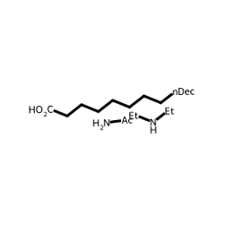 CC(N)=O.CCCCCCCCCCCCCCCCCC(=O)O.CCNCC